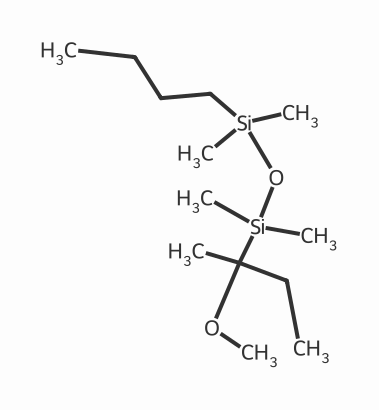 CCCC[Si](C)(C)O[Si](C)(C)C(C)(CC)OC